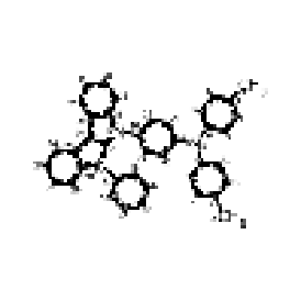 Cc1ccc(N(c2ccc(C)cc2)c2ccc(-n3c4ccccc4c4c5ccccc5n(-c5ccccc5)c43)cc2)cc1